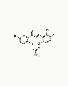 Cc1ccc(Cl)c(/C=C/C(=O)c2cc(Br)ccc2OCC(N)=O)c1Cl